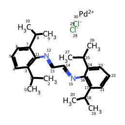 CC(C)c1cccc(C(C)C)c1N=CC=Nc1c(C(C)C)cccc1C(C)C.[Cl-].[Cl-].[Pd+2]